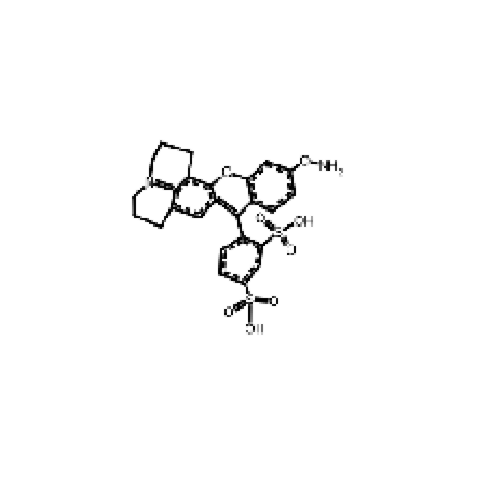 NOc1ccc2c(c1)Oc1c3c4c(cc1=C2c1ccc(S(=O)(=O)O)cc1S(=O)(=O)O)CCC[N+]=4CCC3